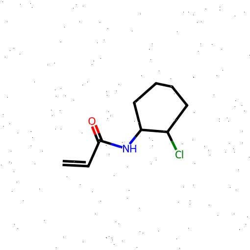 C=CC(=O)NC1CCCCC1Cl